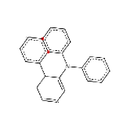 [C]1=CCC(c2cc[c]cc2)C(N(c2ccccc2)c2ccccc2)=C1